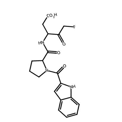 O=C(O)CC(NC(=O)C1CCCN1C(=O)c1cc2ccccc2[nH]1)C(=O)CF